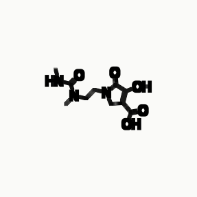 CNC(=O)N(C)CCN1CC(C(=O)O)=C(O)C1=O